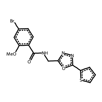 COc1cc(Br)ccc1C(=O)NCc1nnc(-c2cccs2)o1